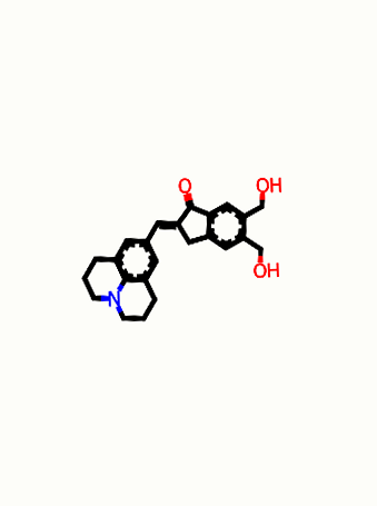 O=C1C(=Cc2cc3c4c(c2)CCCN4CCC3)Cc2cc(CO)c(CO)cc21